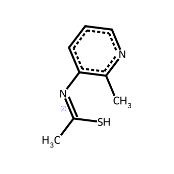 C/C(S)=N/c1cccnc1C